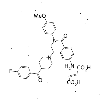 COc1ccc(N(CCN2CCC(C(=O)c3ccc(F)cc3)CC2)C(=O)c2ccc(N)cc2)cc1.O=C(O)C=CC(=O)O